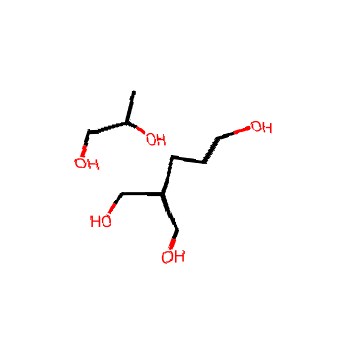 CC(O)CO.OCCCC(CO)CO